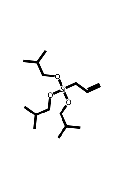 C=CC[Si](OCC(C)C)(OCC(C)C)OCC(C)C